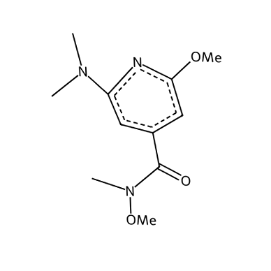 COc1cc(C(=O)N(C)OC)cc(N(C)C)n1